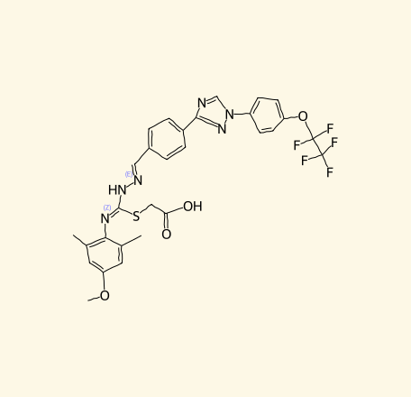 COc1cc(C)c(/N=C(/N/N=C/c2ccc(-c3ncn(-c4ccc(OC(F)(F)C(F)(F)F)cc4)n3)cc2)SCC(=O)O)c(C)c1